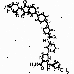 Cc1cc(Nc2nc(N3CCC[C@@H](NC(=O)C4CCN(CC5CCN(c6ccc7c(c6)C(=O)N(C6CCC(=O)NC6=O)C7=O)CC5)C4)C3)cnc2C(N)=O)sn1